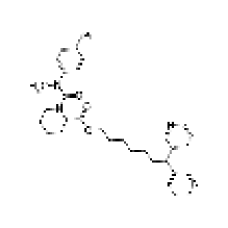 CC(C)c1ccc(N(C)C(=O)N2CCCC[C@H]2C(=O)OCCCCCCC(c2cccnc2)c2cccnc2)cc1